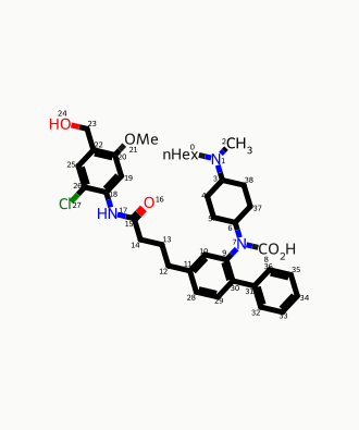 CCCCCCN(C)C1CCC(N(C(=O)O)c2cc(CCCC(=O)Nc3cc(OC)c(CO)cc3Cl)ccc2-c2ccccc2)CC1